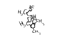 CC(=O)SC(C)CNS(=O)(=O)c1c(C)cc(C)cc1C